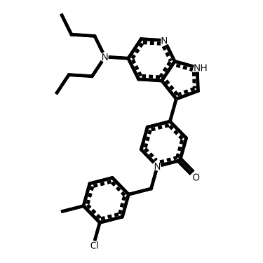 CCCN(CCC)c1cnc2[nH]cc(-c3ccn(Cc4ccc(C)c(Cl)c4)c(=O)c3)c2c1